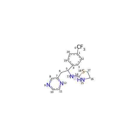 FC(F)(F)c1ccc(C(Cc2cnccn2)/N=C2/NCCS2)cc1